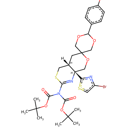 COc1ccc(C2OCC3(CO2)C[C@H]2CSC(N(C(=O)OC(C)(C)C)C(=O)OC(C)(C)C)=N[C@@]2(c2nc(Br)cs2)CO3)cc1